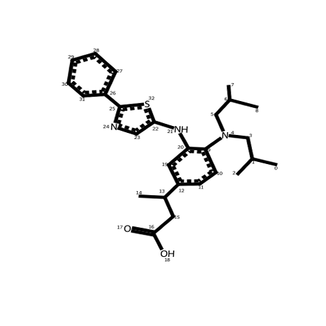 CC(C)CN(CC(C)C)c1ccc(C(C)CC(=O)O)cc1Nc1cnc(-c2ccccc2)s1